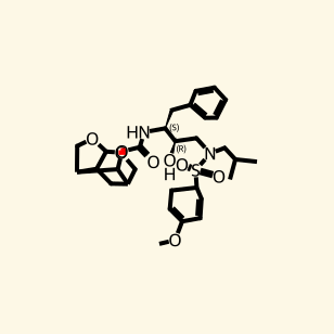 COC1=CCC(S(=O)(=O)N(CC(C)C)C[C@@H](O)[C@H](Cc2ccccc2)NC(=O)OC2C3COC4OCC2C4C3)C=C1